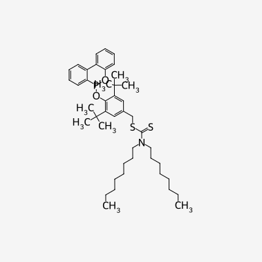 CCCCCCCCN(CCCCCCCC)C(=S)SCc1cc(C(C)(C)C)c(OP2Oc3ccccc3-c3ccccc32)c(C(C)(C)C)c1